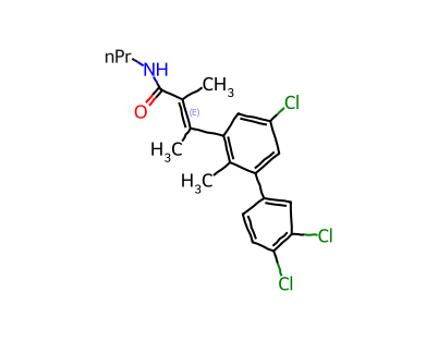 CCCNC(=O)/C(C)=C(\C)c1cc(Cl)cc(-c2ccc(Cl)c(Cl)c2)c1C